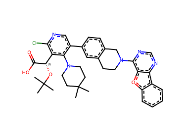 CC1(C)CCN(c2c(-c3ccc4c(c3)CCN(c3ncnc5c3oc3ccccc35)C4)cnc(Cl)c2[C@H](OC(C)(C)C)C(=O)O)CC1